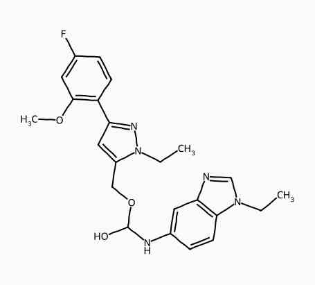 CCn1nc(-c2ccc(F)cc2OC)cc1COC(O)Nc1ccc2c(c1)ncn2CC